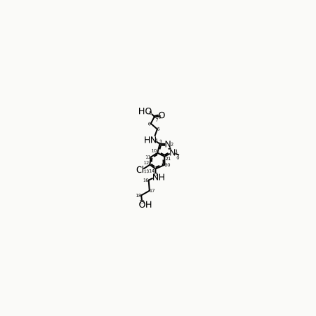 Cn1nc(NCCC(=O)O)c2cc(Cl)c(NCCCO)cc21